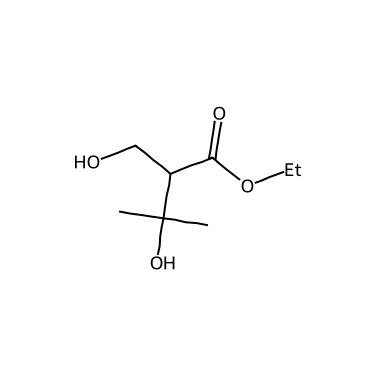 CCOC(=O)C(CO)C(C)(C)O